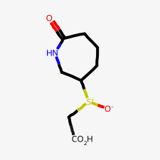 O=C(O)C[S+]([O-])C1CCCC(=O)NC1